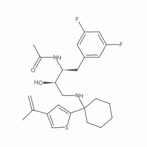 C=C(C)c1csc(C2(NC[C@@H](O)[C@H](Cc3cc(F)cc(F)c3)NC(C)=O)CCCCC2)c1